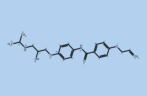 C=CCOc1ccc(C(=O)Nc2ccc(OCC(O)CNC(C)C)cc2)cc1